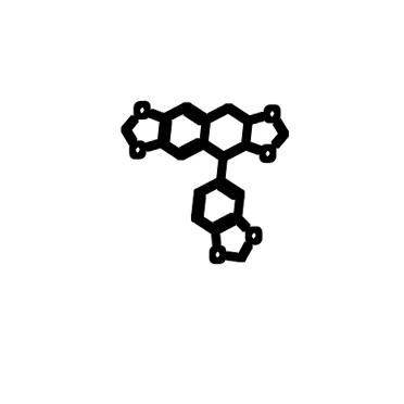 c1cc2c(cc1C1c3cc4c(cc3CC3OCOC31)OCO4)OCO2